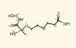 CCCCCCCCNC(=O)C(C)(S)OCCCCCC(=O)C(C)C